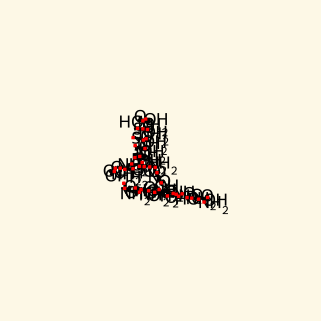 CC(C)C[C@H](N)C(=O)O.CC[C@H](C)[C@H](N)C(=O)O.CC[C@H](C)[C@H](N)C(=O)Oc1ccc(C[C@H](N)C(=O)O)cc1.CSCC[C@H](N)C(=O)O.CSCC[C@H](N)C(=O)O.C[C@@H](OC(=O)[C@@H](N)Cc1ccc(OC(=O)[C@@H](N)COC(=O)[C@@H](N)[C@@H](C)OC(=O)[C@@H](N)CCC(=O)O)cc1)[C@H](N)C(=O)O.NCC(N)=O.N[C@@H](CC(=O)O)C(=O)O.N[C@@H](CCC(=O)O)C(=O)O.N[C@@H](Cc1ccccc1)C(=O)O.O=C(O)[C@@H]1CCCN1